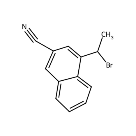 CC(Br)c1cc(C#N)cc2ccccc12